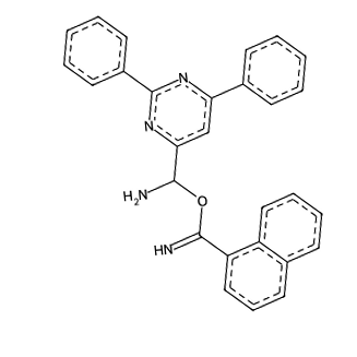 N=C(OC(N)c1cc(-c2ccccc2)nc(-c2ccccc2)n1)c1cccc2ccccc12